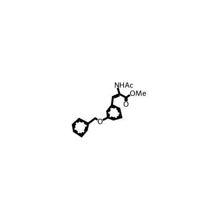 COC(=O)C(=Cc1cccc(OCc2ccccc2)c1)NC(C)=O